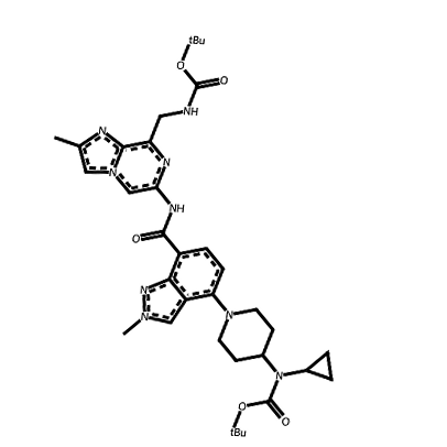 Cc1cn2cc(NC(=O)c3ccc(N4CCC(N(C(=O)OC(C)(C)C)C5CC5)CC4)c4cn(C)nc34)nc(CNC(=O)OC(C)(C)C)c2n1